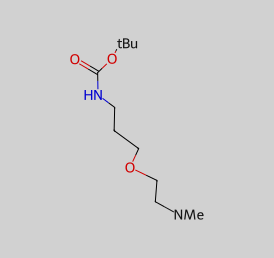 CNCCOCCCNC(=O)OC(C)(C)C